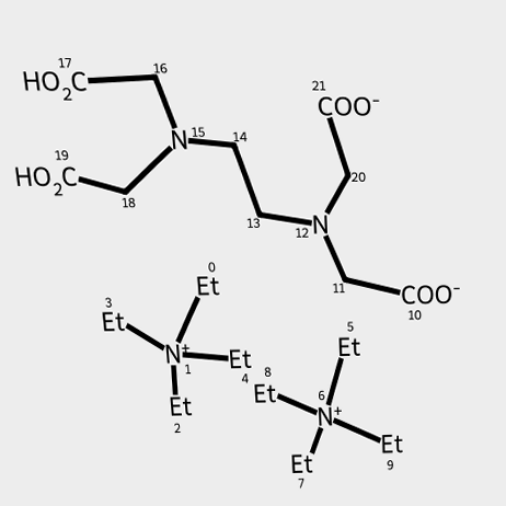 CC[N+](CC)(CC)CC.CC[N+](CC)(CC)CC.O=C([O-])CN(CCN(CC(=O)O)CC(=O)O)CC(=O)[O-]